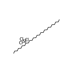 CCCCCCCCCCCCCCCCCCC(CCCCCCC)[Si](Cl)(Cl)Cl